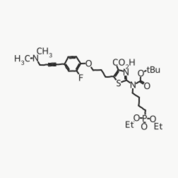 CCOP(=O)(CCCCN(C(=O)OC(C)(C)C)c1nc(C(=O)O)c(CCCOc2ccc(C#CCN(C)C)cc2F)s1)OCC